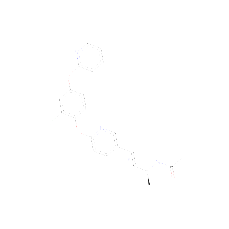 CC(=O)N[C@@H](C)/C=C/c1ccc(Oc2ccc(Oc3ccccn3)cc2Cl)nc1